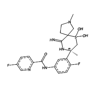 CN1CCC2(C1)C(=N)N[C@](C)(c1cc(NC(=O)c3ccc(F)cn3)ccc1F)CS2(O)O